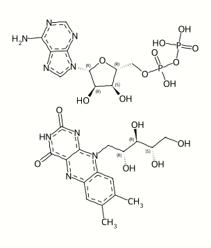 Cc1cc2nc3c(=O)[nH]c(=O)nc-3n(C[C@@H](O)[C@@H](O)[C@@H](O)CO)c2cc1C.Nc1ncnc2c1ncn2[C@@H]1O[C@H](COP(=O)(O)OP(=O)(O)O)[C@@H](O)[C@H]1O